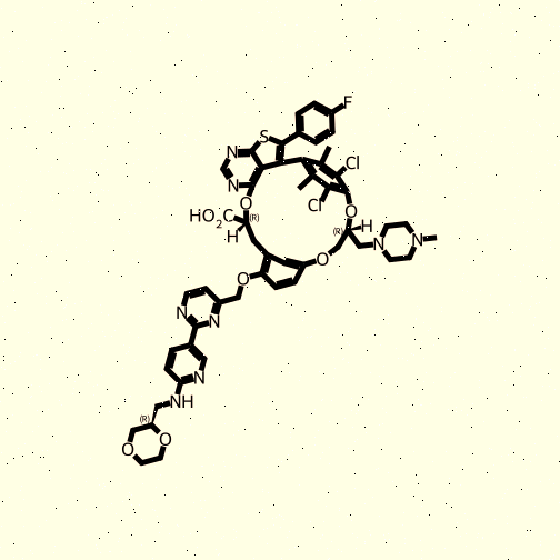 Cc1c(Cl)c2c(Cl)c(C)c1-c1c(-c3ccc(F)cc3)sc3ncnc(c13)O[C@@H](C(=O)O)Cc1cc(ccc1OCc1ccnc(-c3ccc(NC[C@@H]4COCCO4)nc3)n1)OC[C@@H](CN1CCN(C)CC1)O2